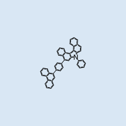 c1ccc(-n2c3ccc4ccccc4c3c3c4ccccc4c(-c4ccc(-c5cc6ccccc6c6ccccc56)cc4)cc32)cc1